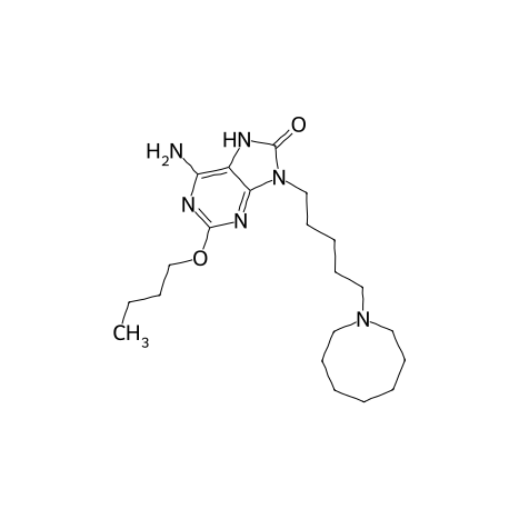 CCCCOc1nc(N)c2[nH]c(=O)n(CCCCCN3CCCCCCC3)c2n1